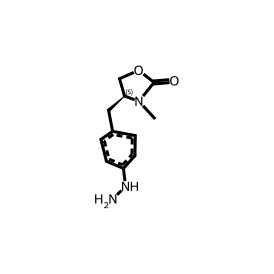 CN1C(=O)OC[C@@H]1Cc1ccc(NN)cc1